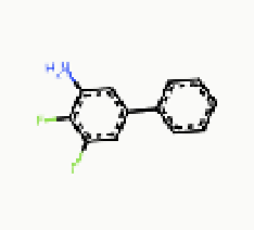 Nc1cc(-c2ccccc2)cc(F)c1F